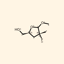 COC1O[C@H](CO)C[C@@]1(C)F